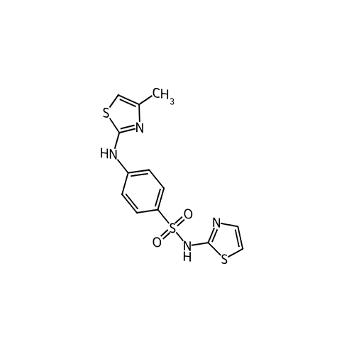 Cc1csc(Nc2ccc(S(=O)(=O)Nc3nccs3)cc2)n1